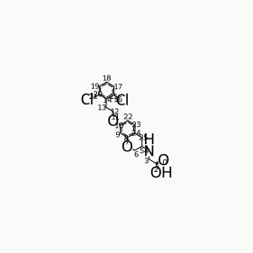 O=C(O)CNC1COc2cc(OCCc3c(Cl)cccc3Cl)ccc2C1